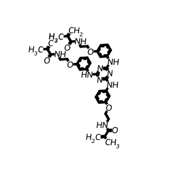 C=C(C)C(=O)NCCOc1cccc(Nc2nc(Nc3cccc(OCCNC(=O)C(=C)C)c3)nc(Nc3cccc(OCCNC(=O)C(=C)C)c3)n2)c1